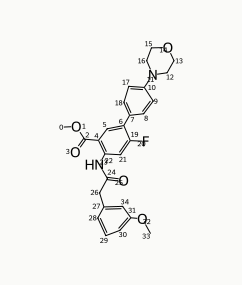 COC(=O)c1cc(-c2ccc(N3CCOCC3)cc2)c(F)cc1NC(=O)Cc1cccc(OC)c1